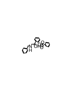 O=S(=O)(Oc1ccccc1[C@@H](O)CNCc1ccccc1)c1ccccc1